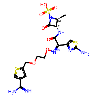 C[C@H]1[C@H](NC(=O)/C(=N\OCCOCc2cc(C(=N)N)cs2)c2csc(N)n2)C(=O)N1S(=O)(=O)O